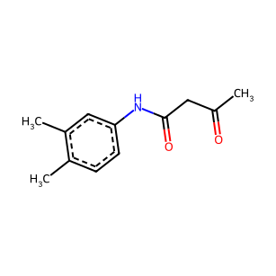 CC(=O)CC(=O)Nc1ccc(C)c(C)c1